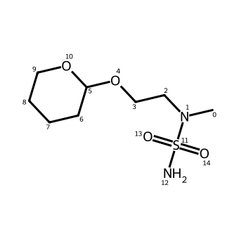 CN(CCOC1CCCCO1)S(N)(=O)=O